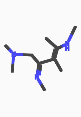 C/N=C(CN(C)C)\C(C)=C(/C)NC